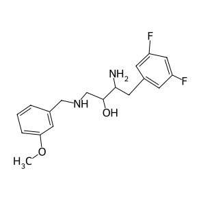 COc1cccc(CNCC(O)C(N)Cc2cc(F)cc(F)c2)c1